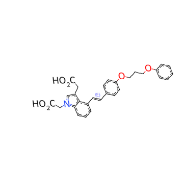 O=C(O)Cc1cn(CC(=O)O)c2cccc(/C=C/c3ccc(OCCCOc4ccccc4)cc3)c12